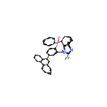 CCc1nc2cccc3c2n1-c1cc(-c2cc4ccccc4c4ccccc24)ccc1P3(=O)c1ccccc1